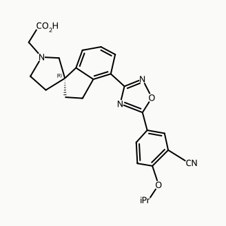 CC(C)Oc1ccc(-c2nc(-c3cccc4c3CC[C@@]43CCN(CC(=O)O)C3)no2)cc1C#N